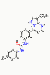 CCOC(=O)c1cnn2c(-c3cccc(NC(=O)Nc4ccc(C(C)=O)cc4)c3)ccnc12